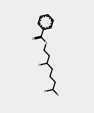 O=C(SCCC(F)CCCC(F)F)c1ccccc1